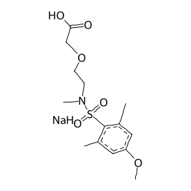 COc1cc(C)c(S(=O)(=O)N(C)CCOCC(=O)O)c(C)c1.[NaH]